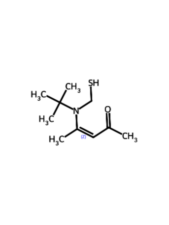 CC(=O)/C=C(/C)N(CS)C(C)(C)C